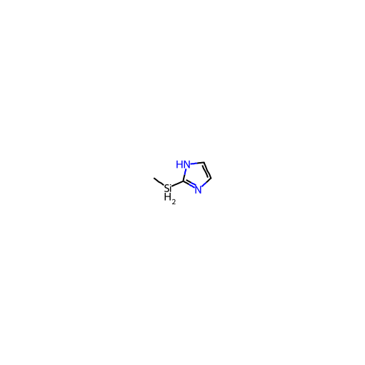 C[SiH2]c1ncc[nH]1